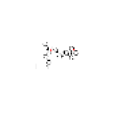 Nc1cccc(-c2cccc(-c3nc(-c4ccccc4)nc(-c4cccc(-c5cccc6c5Oc5ccc7c(c5O6)-c5ccccc5C7(c5ccccc5)c5ccccc5)c4)n3)c2)c1